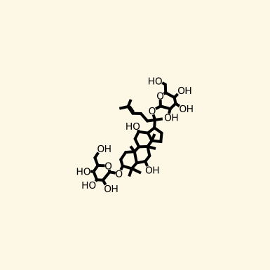 CC(C)=CCCC(C)(OC1OC(CO)C(O)C(O)C1O)C1CCC2(C)C1C(O)CC1C3(C)CCC(OC4OC(CO)C(O)C(O)C4O)C(C)(C)C3C(O)CC12C